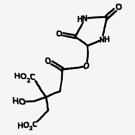 O=C(O)CC(O)(CC(=O)OC1NC(=O)NC1=O)C(=O)O